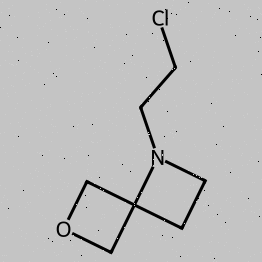 ClCCN1CCC12COC2